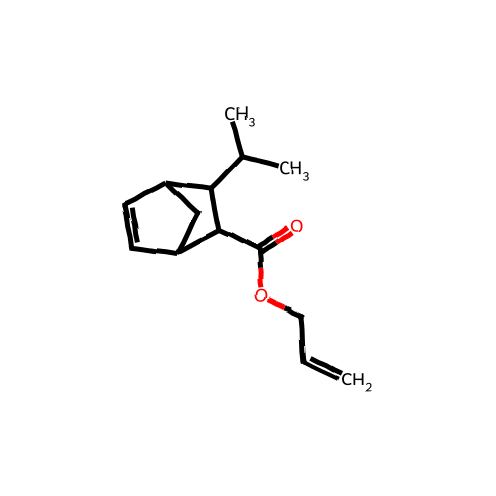 C=CCOC(=O)C1C2C=CC(C2)C1C(C)C